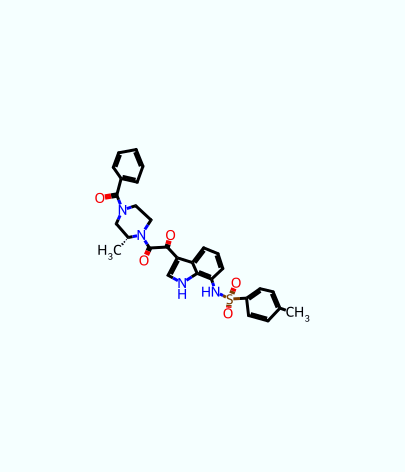 Cc1ccc(S(=O)(=O)Nc2cccc3c(C(=O)C(=O)N4CCN(C(=O)c5ccccc5)C[C@H]4C)c[nH]c23)cc1